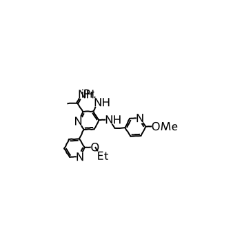 CCOc1ncccc1-c1cc(NCc2ccc(OC)nc2)c(NC(C)C)c(C(C)=N)n1